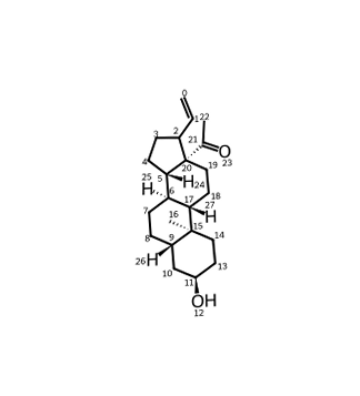 C=CC1CC[C@H]2[C@@H]3CC[C@H]4C[C@H](O)CC[C@]4(C)[C@H]3CC[C@]12C(C)=O